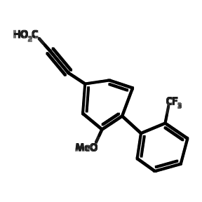 COc1cc(C#CC(=O)O)ccc1-c1ccccc1C(F)(F)F